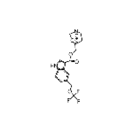 O=C(OCC12CCN(CC1)CC2)c1c[nH]c2ccc(COC(F)(F)F)cc12